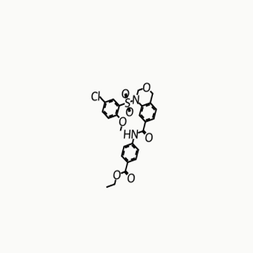 CCOC(=O)c1ccc(NC(=O)c2ccc3c(c2)N(S(=O)(=O)c2cc(Cl)ccc2OC)COC3)cc1